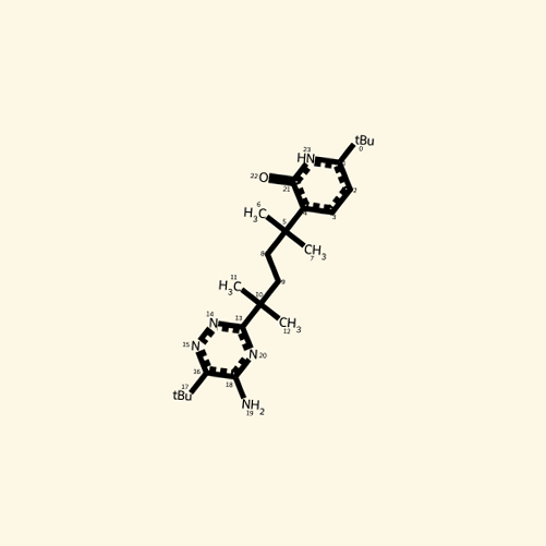 CC(C)(C)c1ccc(C(C)(C)CCC(C)(C)c2nnc(C(C)(C)C)c(N)n2)c(=O)[nH]1